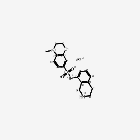 CN1CCOc2cc(S(=O)(=O)Nc3cccc4c3CNCC4)ccc21.Cl